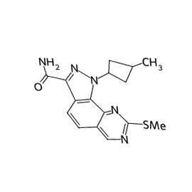 CSc1ncc2ccc3c(C(N)=O)nn(C4CC(C)C4)c3c2n1